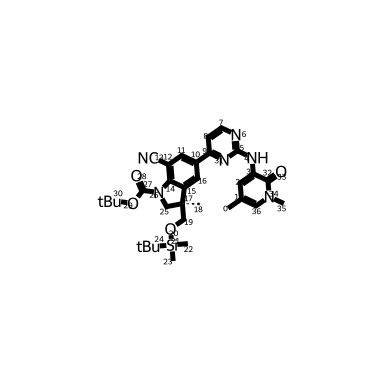 Cc1cc(Nc2nccc(-c3cc(C#N)c4c(c3)[C@@](C)(CO[Si](C)(C)C(C)(C)C)CN4C(=O)OC(C)(C)C)n2)c(=O)n(C)c1